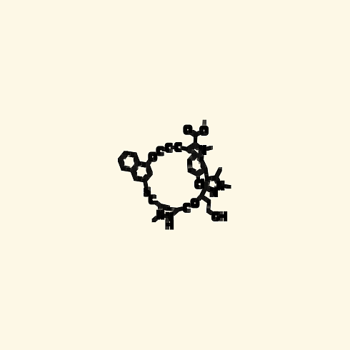 COC(=O)c1c2c3ccc(Cl)c(c3n1C)-c1c(nn(C)c1C)C(CCO)OCC1C=C(CSc3cc(c4ccccc4c3)OCCC2)N(C)N1